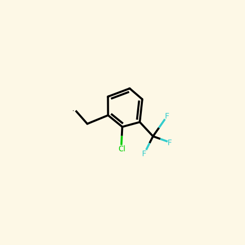 [CH2]Cc1cccc(C(F)(F)F)c1Cl